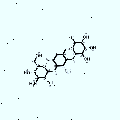 CCC1O[C@H](OC2C(C)C[C@@H](C)C(OC3O[C@H](CO)[C@@H](O)C(N)[C@H]3O)[C@H]2O)C(O)[C@@H](O)[C@@H]1O